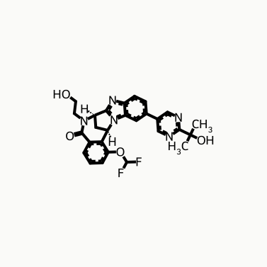 CC(C)(O)c1ncc(-c2ccc3nc4n(c3c2)[C@@H]2C[C@H]4N(CCO)C(=O)c3cccc(OC(F)F)c32)cn1